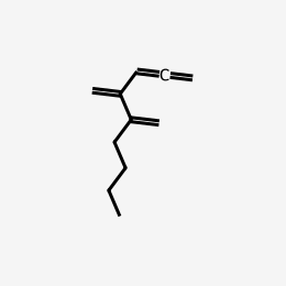 C=C=CC(=C)C(=C)CCCC